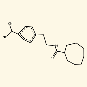 N#CC(C#N)c1ccc(CCNC(=O)C2CCCCCCC2)cc1